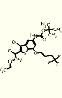 CCOPC(F)c1sc2c(OCCCC(F)(F)F)cc(NC(=O)OC(C)(C)C)cc2c1Br